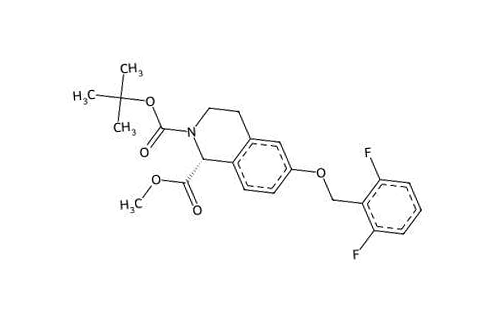 COC(=O)[C@H]1c2ccc(OCc3c(F)cccc3F)cc2CCN1C(=O)OC(C)(C)C